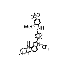 COc1cc(S(C)(=O)=O)ccc1NCc1nnc(-c2cc3c(N[C@H]4CCN(C)C[C@@H]4F)cccc3n2CC(F)(F)F)s1